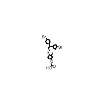 O=C(O)COc1ccc(SCC=C(c2ccc(Br)cc2)c2ccc(Br)cc2)c(I)c1